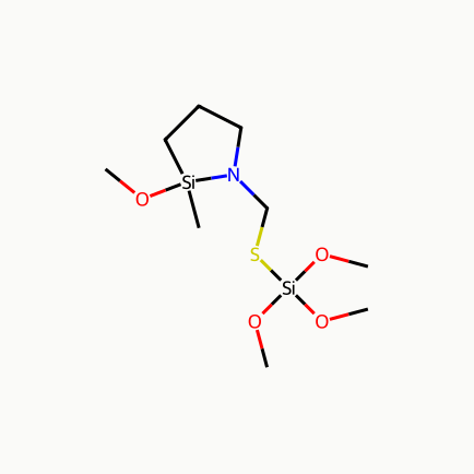 CO[Si](OC)(OC)SCN1CCC[Si]1(C)OC